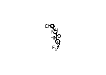 O=C(NC1CCN(CC(F)(F)F)CC1)c1cnc(-c2cccc(Cl)c2)nc1